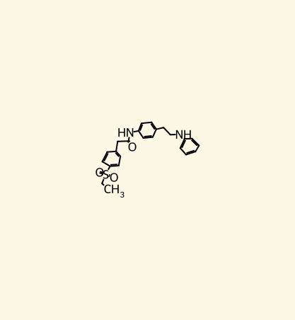 CCS(=O)(=O)c1ccc(CC(=O)Nc2ccc(CCNc3ccccc3)cc2)cc1